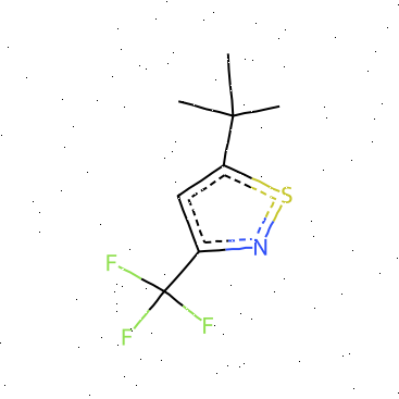 CC(C)(C)c1cc(C(F)(F)F)ns1